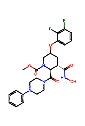 COC(=O)N1C[C@@H](Oc2cccc(F)c2F)C[C@H](C(=O)NO)[C@H]1C(=O)N1CCN(c2ccccc2)CC1